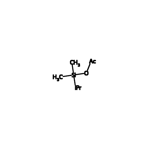 CC(=O)O[Si](C)(C)C(C)C